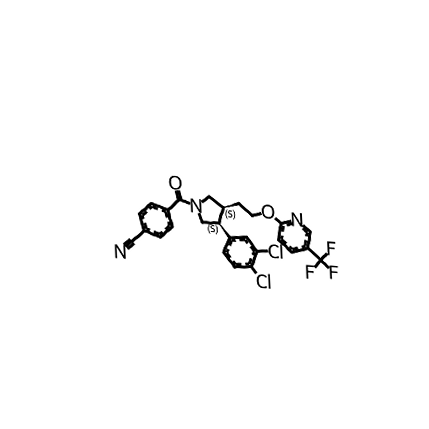 N#Cc1ccc(C(=O)N2C[C@@H](CCOc3ccc(C(F)(F)F)cn3)[C@@H](c3ccc(Cl)c(Cl)c3)C2)cc1